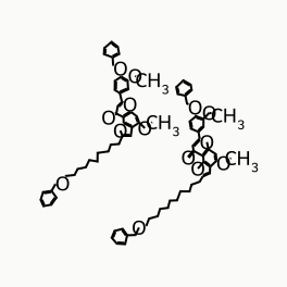 COc1cc(-c2cc(=O)c3c(cc(OC)c4cc(CCCCCCCCCCCOCc5ccccc5)oc43)o2)ccc1OCc1ccccc1.COc1cc(-c2cc(=O)c3c(cc(OC)c4cc(CCCCCCCCCCOCc5ccccc5)oc43)o2)ccc1OCc1ccccc1